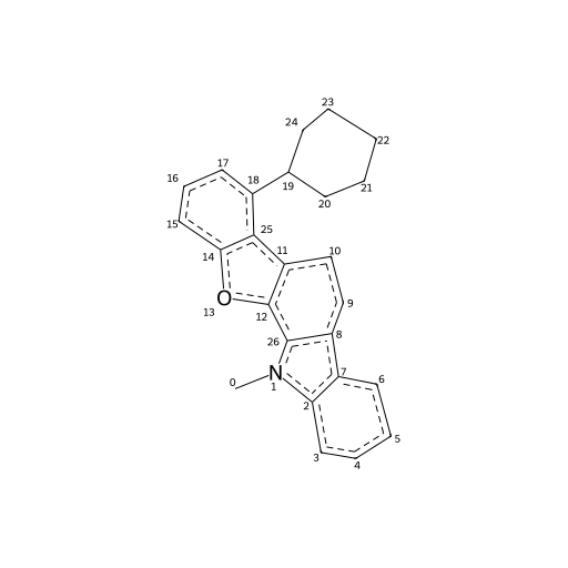 Cn1c2ccccc2c2ccc3c(oc4cccc(C5CCCCC5)c43)c21